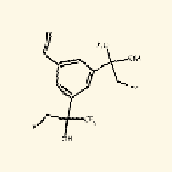 C=Cc1cc(C(O)(CF)C(F)(F)F)cc(C(O)(CF)C(F)(F)F)c1